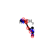 COc1cc2c(cc1OCCCCCCOc1ccc(-n3c(-c4ccccc4)nc4ccc(N5CCOCC5)cc4c3=O)cc1)N=C[C@@H]1CCCN1C2=O